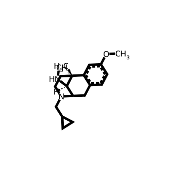 CN[C@@H]1C2Cc3ccc(OC)cc3[C@@]1(C)CCN2CC1CC1